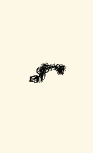 CNC(=O)C(CCC=O)N1Cc2c(OCCCCCCOc3ccnc4ccccc34)cccc2C1=O